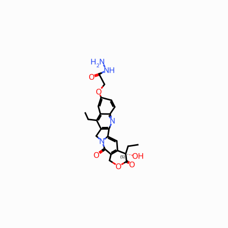 CCc1c2c(nc3ccc(OCC(=O)NN)cc13)-c1cc3c(c(=O)n1C2)COC(=O)[C@]3(O)CC